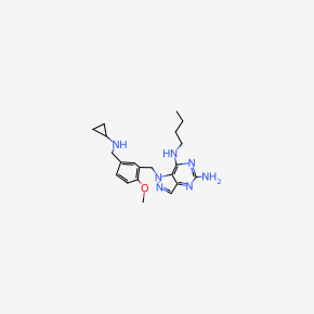 CCCCNc1nc(N)nc2cnn(Cc3cc(CNC4CC4)ccc3OC)c12